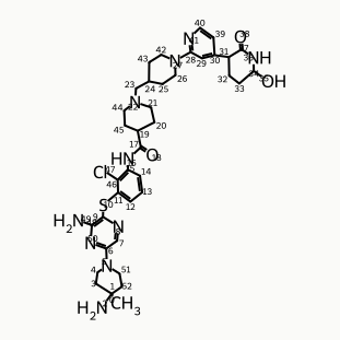 CC1(N)CCN(c2cnc(Sc3cccc(NC(=O)C4CCN(CC5CCN(c6cc(C7CCC(O)NC7=O)ccn6)CC5)CC4)c3Cl)c(N)n2)CC1